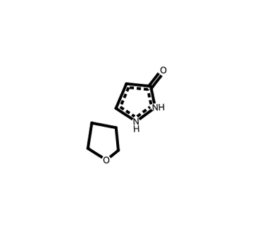 C1CCOC1.O=c1cc[nH][nH]1